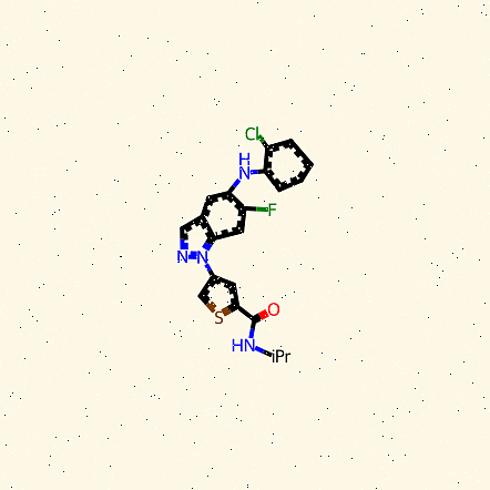 CC(C)NC(=O)c1cc(-n2ncc3cc(Nc4ccccc4Cl)c(F)cc32)cs1